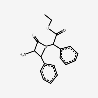 CCOC(=O)C(c1ccccc1)N1C(=O)C(N)C1c1ccccc1